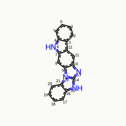 c1ccc2c(c1)[nH]c1cc3c(cc12)nc1[nH]c2ccccc2n13